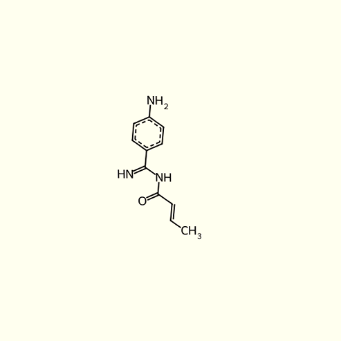 CC=CC(=O)NC(=N)c1ccc(N)cc1